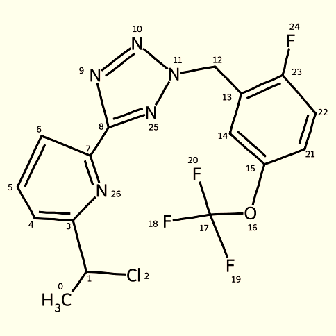 CC(Cl)c1cccc(-c2nnn(Cc3cc(OC(F)(F)F)ccc3F)n2)n1